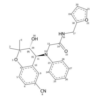 CC1(C)Oc2ccc(C#N)cc2[C@H](N(CC(=O)NCc2ccco2)c2ccccc2)[C@H]1O